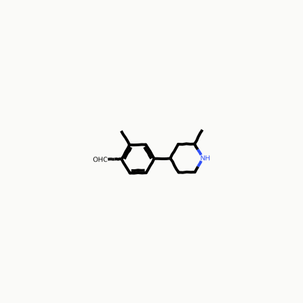 Cc1cc(C2CCNC(C)C2)ccc1C=O